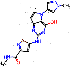 CNC(=O)c1cc(Nc2nc(O)c3c(ccn3-c3cnn(C)c3)n2)sn1